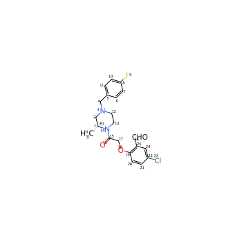 C[C@@H]1CN(Cc2ccc(F)cc2)CCN1C(=O)COc1ccc(Cl)cc1C=O